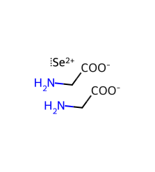 NCC(=O)[O-].NCC(=O)[O-].[Se+2]